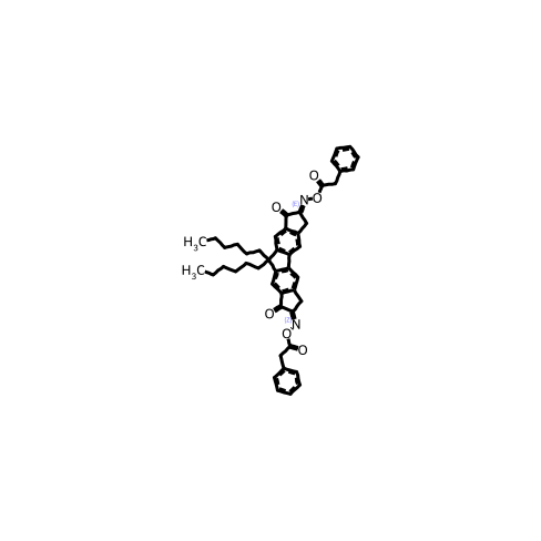 CCCCCCC1(CCCCCC)c2cc3c(cc2-c2cc4c(cc21)C(=O)/C(=N/OC(=O)Cc1ccccc1)C4)C/C(=N/OC(=O)Cc1ccccc1)C3=O